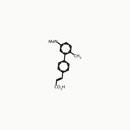 CNc1ccc(C)c(-c2ccc(C=CC(=O)O)cc2)c1